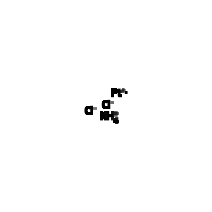 [Cl-].[Cl-].[NH4+].[Pt+]